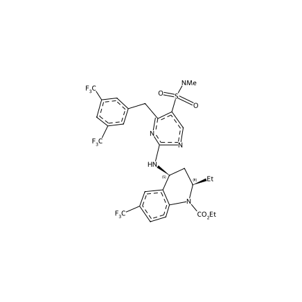 CCOC(=O)N1c2ccc(C(F)(F)F)cc2[C@@H](Nc2ncc(S(=O)(=O)NC)c(Cc3cc(C(F)(F)F)cc(C(F)(F)F)c3)n2)C[C@H]1CC